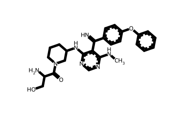 CNc1ncnc(NC2CCCN(C(=O)C(N)CO)C2)c1C(=N)c1ccc(Oc2ccccc2)cc1